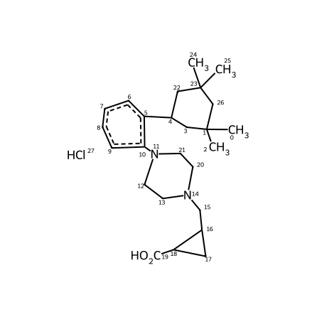 CC1(C)CC(c2ccccc2N2CCN(CC3CC3C(=O)O)CC2)CC(C)(C)C1.Cl